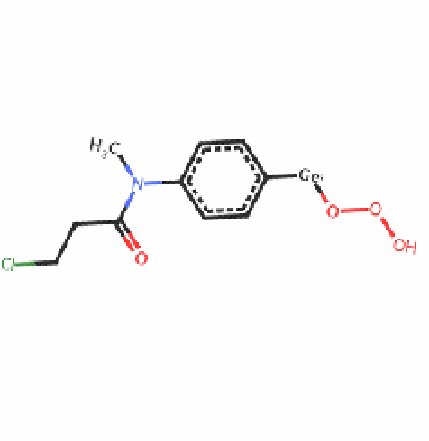 CN(C(=O)CCCl)c1cc[c]([Ge][O]OO)cc1